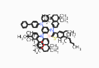 CCCCC(C)(C)c1cc2sc3c(c2cc1CC)N(c1ccc2c(c1)C(C)(C)CCC2(C)C)c1cc(N(c2ccccc2)c2ccc(-c4ccccc4)cc2)cc2c1B3c1cc3c(cc1N2c1ccc(C(C)(C)C)cc1-c1ccccc1)C(C)(C)CCC3(C)C